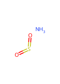 N.O=S=O